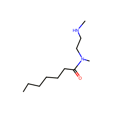 CCCCCCC(=O)N(C)CCNC